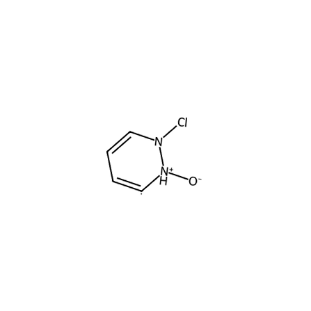 [O-][NH+]1[C]=CC=CN1Cl